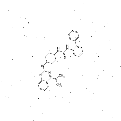 CN(C)c1nc(NC2CCC(NC(=S)Nc3ccccc3-c3ccccc3)CC2)nc2ccccc12